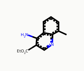 CCOC(=O)c1cnc2c(C)cccc2c1N